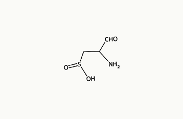 NC(C=O)CS(=O)O